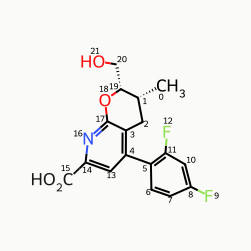 C[C@@H]1Cc2c(-c3ccc(F)cc3F)cc(C(=O)O)nc2O[C@@H]1CO